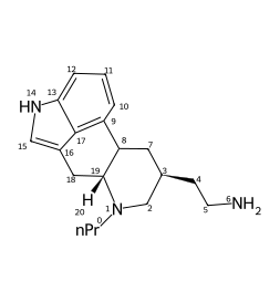 CCCN1C[C@H](CCN)CC2c3cccc4[nH]cc(c34)C[C@H]21